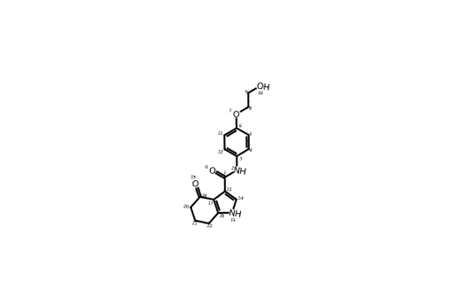 O=C(Nc1ccc(OCCO)cc1)c1c[nH]c2c1C(=O)CCC2